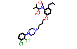 C/C=C\c1ccc(OCCCCN2CCN(c3cccc(Cl)c3Cl)CC2)cc1N(C=O)C(OC)C(C)C